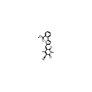 COC(=O)c1ccccc1-c1ccc(/C=C2\C(=O)N(C)C(=O)C(C#N)=C2C)o1